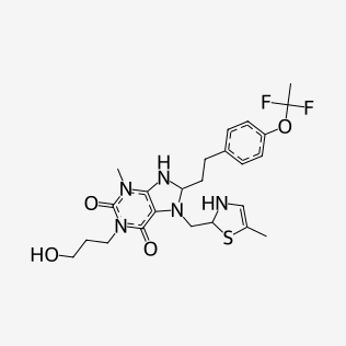 CC1=CNC(CN2c3c(n(C)c(=O)n(CCCO)c3=O)NC2CCc2ccc(OC(C)(F)F)cc2)S1